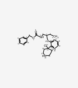 CCC(CNC(=O)OCc1ccccc1)Oc1nccnc1C1(Cl)CCNCC1